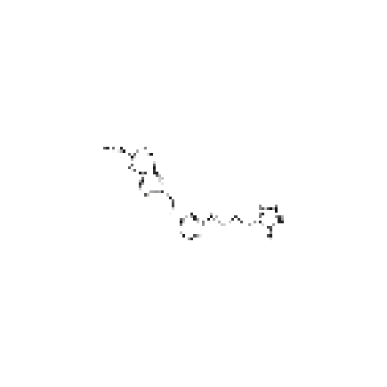 COc1ccc2nc(COc3cccc(OCCCc4nnn[nH]4)c3)ccc2c1